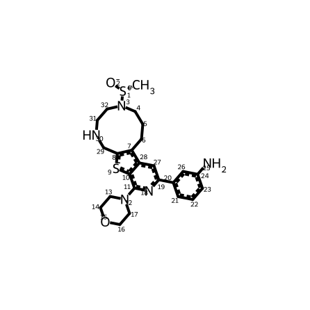 C[S+]([O-])N1CCCc2c(sc3c(N4CCOCC4)nc(-c4cccc(N)c4)cc23)CNCC1